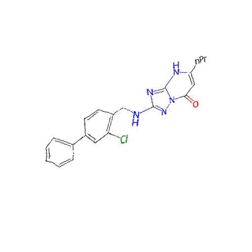 CCCc1cc(=O)n2nc(NCc3ccc(-c4ccccc4)cc3Cl)nc2[nH]1